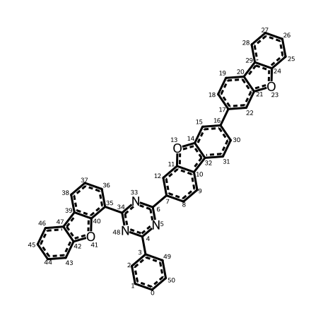 c1ccc(-c2nc(-c3ccc4c(c3)oc3cc(-c5ccc6c(c5)oc5ccccc56)ccc34)nc(-c3cccc4c3oc3ccccc34)n2)cc1